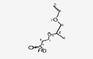 C=COCC(C)OCC[SH](=O)=O